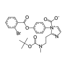 CN(CCC1=NC=C[N+]1(C(=O)[O-])c1ccc(OC(=O)c2ccccc2Br)cc1)C(=O)OC(C)(C)C